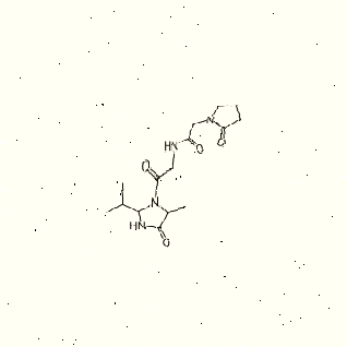 CC(C)C1NC(=O)C(C)N1C(=O)CNC(=O)CN1CCCC1=O